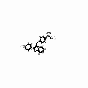 CN(C)c1ccc(Cc2c(-c3ccc(Cl)cc3)nc3ccccn23)cc1